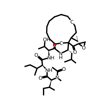 CCC(C)[C@H](NC(=O)[C@H](C(C)CC)N(C)C(C)=O)C(=O)N[C@H](C(=O)N[C@@H](CC(C)C)C1(C(=O)[C@@]2(C)CO2)CCCCCCCCCCCCC1C)C(C)O